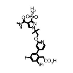 CC(C)c1cc(F)cc(-c2ccnc(OCC(C)(C)n3cc(C(=O)N(C)C)c(S(N)(=O)=O)n3)c2)c1CC(=O)O